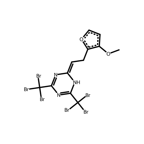 COc1ccoc1C/C=C1/N=C(C(Br)(Br)Br)N=C(C(Br)(Br)Br)N1